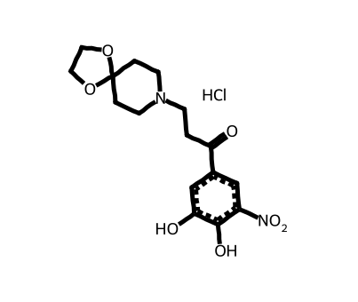 Cl.O=C(CCN1CCC2(CC1)OCCO2)c1cc(O)c(O)c([N+](=O)[O-])c1